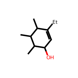 CCC1=CC(O)C(C)C(C)C1C